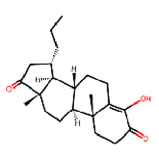 CCC[C@H]1CC(=O)[C@@]2(C)CC[C@H]3[C@@H](CCC4=C(O)C(=O)CC[C@@]43C)[C@H]12